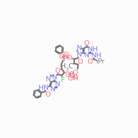 CC(C)C(=O)Nc1nc2c(ncn2C2OC3COP(=O)(O)OC4C(CCP(=O)(Oc5ccccc5)OC2C3C)OC(n2cnc3c(NC(=O)c5ccccc5)ncnc32)C4F)c(=O)[nH]1